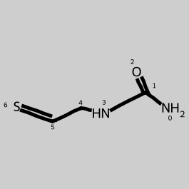 NC(=O)NC[C]=S